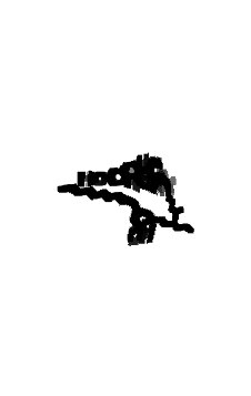 CC(C)CCC[C@@H](C)[C@H]1CC[C@H]2[C@@H]3CC=C4C[C@@H](O)CC[C@]4(C)[C@H]3CC[C@]12C.CCCCCCCCCCC(CCCCCCCC)CC(=O)O